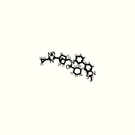 Cc1nc2ccc(-c3cccc(N(CC45CCC(c6nc(C7CC7)no6)=C(C4)C5)C(=O)C4CCCCC4)c3)cc2s1